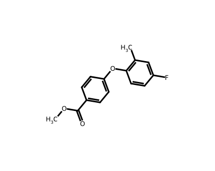 COC(=O)c1ccc(Oc2ccc(F)cc2C)cc1